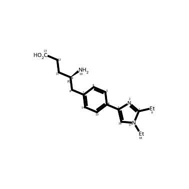 CCc1nc(-c2ccc(C[C@H](N)CCC(=O)O)cc2)cn1CC